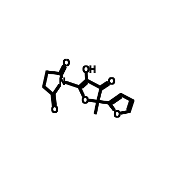 CC1(c2ccco2)OC(N2C(=O)CCC2=O)=C(O)C1=O